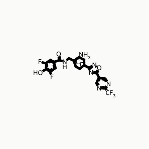 N.O=C(NCC12CCC(c3noc(-c4cnc(C(F)(F)F)nc4)n3)(CC1)CC2)c1cc(F)c(O)c(F)c1